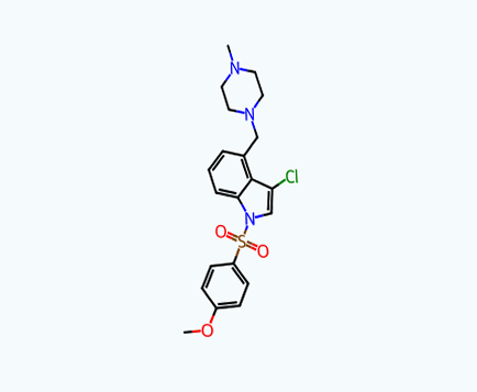 COc1ccc(S(=O)(=O)n2cc(Cl)c3c(CN4CCN(C)CC4)cccc32)cc1